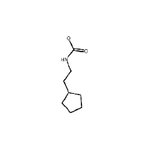 [O]C(=O)NCCC1CCCC1